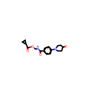 O=C1CCN(c2ccc(C(=O)NCOC(=O)C3CC3)cc2)CC1